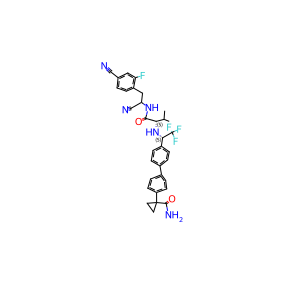 CC(C)[C@H](N[C@@H](c1ccc(-c2ccc(C3(C(N)=O)CC3)cc2)cc1)C(F)(F)F)C(=O)NC(C#N)Cc1ccc(C#N)cc1F